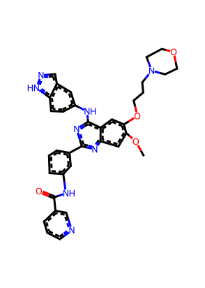 COc1cc2nc(-c3cccc(NC(=O)c4cccnc4)c3)nc(Nc3ccc4[nH]ncc4c3)c2cc1OCCCN1CCOCC1